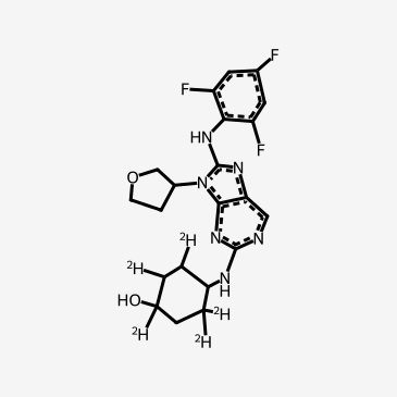 [2H]C1C(Nc2ncc3nc(Nc4c(F)cc(F)cc4F)n(C4CCOC4)c3n2)C([2H])([2H])CC([2H])(O)C1[2H]